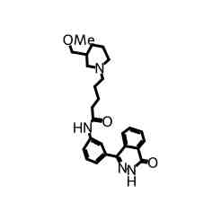 COCC1CCCN(CCCCC(=O)Nc2cccc(-c3n[nH]c(=O)c4ccccc34)c2)C1